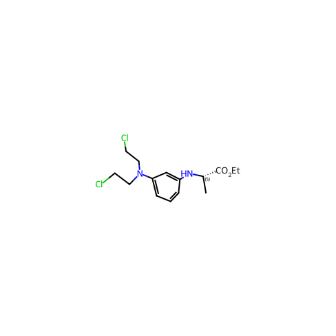 CCOC(=O)[C@H](C)Nc1cccc(N(CCCl)CCCl)c1